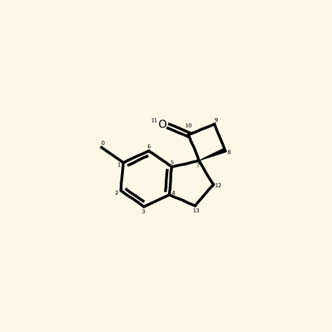 Cc1ccc2c(c1)[C@@]1(CCC1=O)CC2